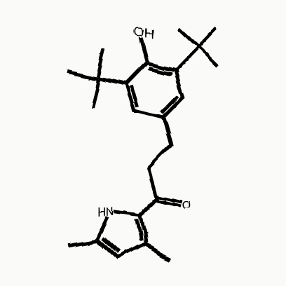 Cc1cc(C)c(C(=O)CCc2cc(C(C)(C)C)c(O)c(C(C)(C)C)c2)[nH]1